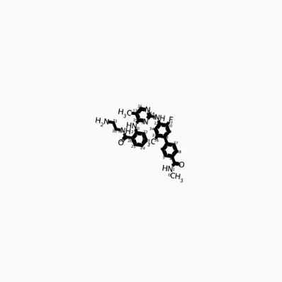 CNC(=O)c1ccc(-c2cc(F)c(Nc3ncc(C)c(Nc4ccccc4C(=O)NCCN)n3)cc2C)cc1